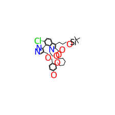 COC(=O)c1c(CCCO[Si](C)(C)C(C)(C)C)c2ccc(Cl)c(-c3c(COCc4ccc(OC)cc4)cnn3C)c2n1CCOC1CCCCO1